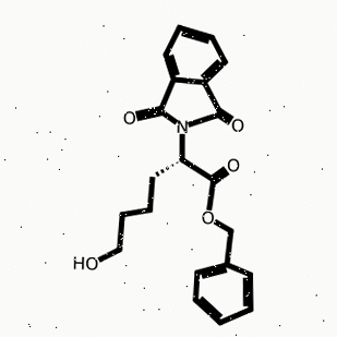 O=C(OCc1ccccc1)[C@H](CCCCO)N1C(=O)c2ccccc2C1=O